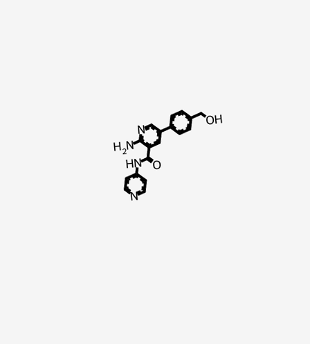 Nc1ncc(-c2ccc(CO)cc2)cc1C(=O)Nc1ccncc1